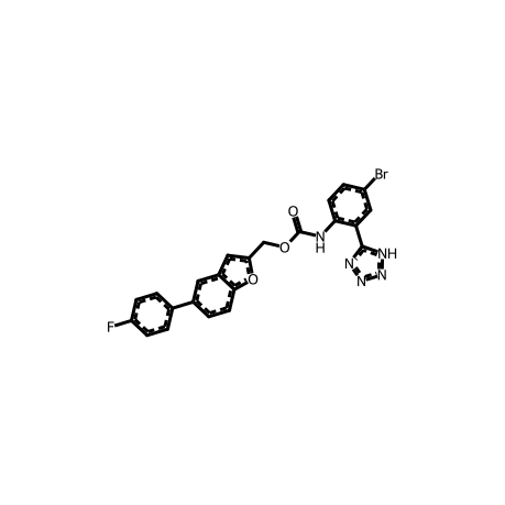 O=C(Nc1ccc(Br)cc1-c1nnn[nH]1)OCc1cc2cc(-c3ccc(F)cc3)ccc2o1